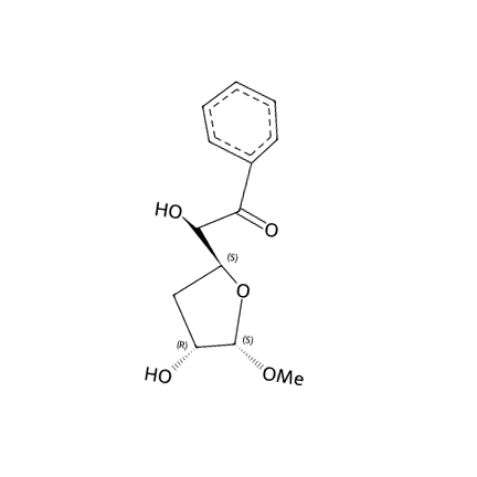 CO[C@H]1O[C@H](C(O)C(=O)c2ccccc2)C[C@H]1O